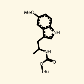 COc1ccc2[nH]cc(CC(C)NC(=O)OC(C)(C)C)c2c1